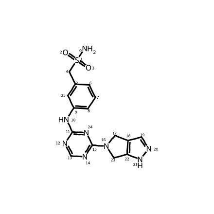 NS(=O)(=O)Cc1cccc(Nc2ncnc(N3Cc4cn[nH]c4C3)n2)c1